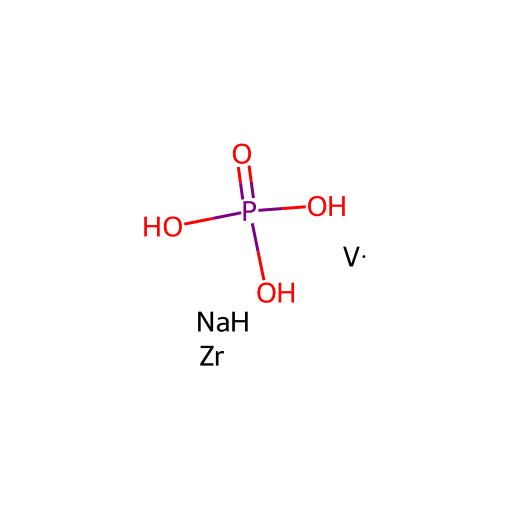 O=P(O)(O)O.[NaH].[V].[Zr]